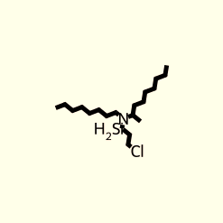 CCCCCCCCN([SiH2]CCCl)C(C)CCCCCCC